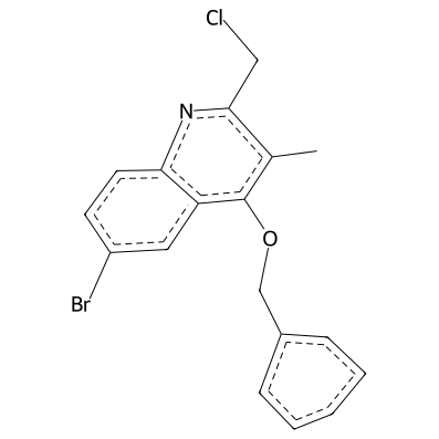 Cc1c(CCl)nc2ccc(Br)cc2c1OCc1ccccc1